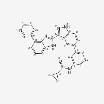 O=C(Nc1cncc(-c2ccc3[nH]nc(-c4cc5c(-c6cccnc6)cccc5[nH]4)c3c2)c1)C1CC1